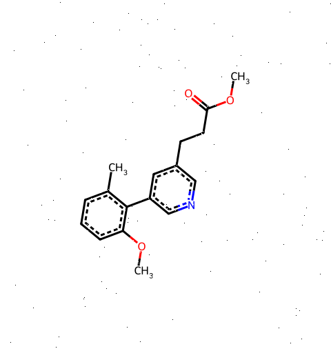 COC(=O)CCc1cncc(-c2c(C)cccc2OC)c1